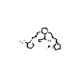 CC1CCCN1CCCN1CCN(CCCN2CCC[C@@H]2CO)C1=C(C#N)C#N